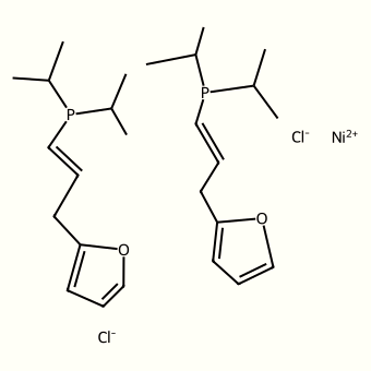 CC(C)P(C=CCc1ccco1)C(C)C.CC(C)P(C=CCc1ccco1)C(C)C.[Cl-].[Cl-].[Ni+2]